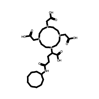 O=C(O)CN1CCN(CC(=O)O)CCN(C(CCC(=O)NC2CCCCCCCC2)C(=O)O)CCN(CC(=O)O)CC1